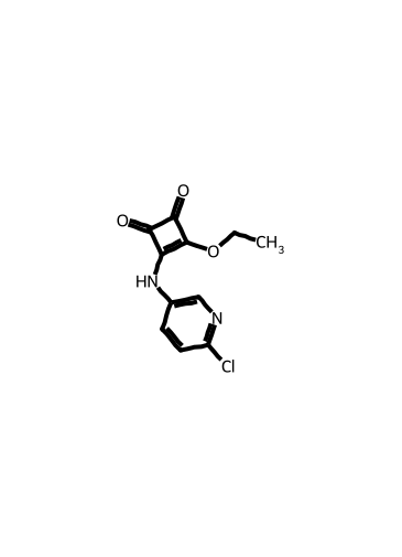 CCOc1c(Nc2ccc(Cl)nc2)c(=O)c1=O